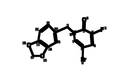 O=c1c(F)cc(Br)cn1Cc1ccc2c(c1)OCO2